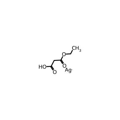 CCOC(=O)CC(=O)O.[Ag]